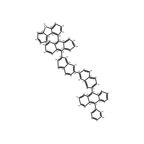 c1ccc(-c2c3ccccc3c(-c3ccc4ccc(-c5ccc6ccc(-c7c8ccccc8c(-c8cccc9oc%10ccccc%10c89)c8ccccc78)cc6c5)cc4c3)c3ccccc23)cc1